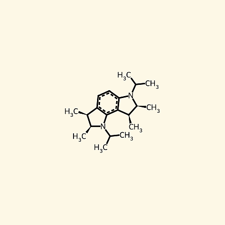 CC(C)N1c2ccc3c(c2[C@H](C)[C@@H]1C)N(C(C)C)[C@@H](C)[C@H]3C